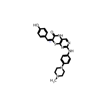 CN1CCN(c2ccc(Nc3ncc4c(n3)S/C(=C/c3ccc(O)cc3)C(=O)N4)cc2)CC1